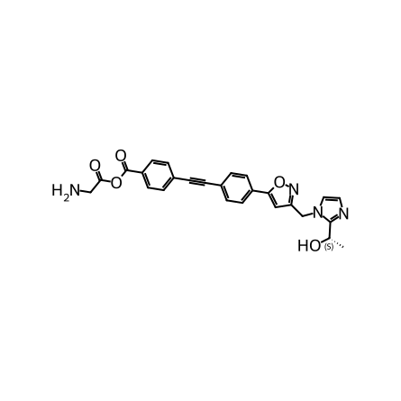 C[C@H](O)c1nccn1Cc1cc(-c2ccc(C#Cc3ccc(C(=O)OC(=O)CN)cc3)cc2)on1